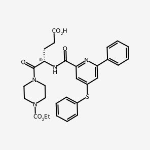 CCOC(=O)N1CCN(C(=O)[C@H](CCC(=O)O)NC(=O)c2cc(Sc3ccccc3)cc(-c3ccccc3)n2)CC1